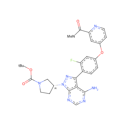 CNC(=O)c1cc(Oc2ccc(-c3nn([C@@H]4CCN(C(=O)OC(C)(C)C)C4)c4ncnc(N)c34)c(F)c2)ccn1